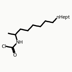 CCCCCCCCCCCCCC(C)NC(=O)Cl